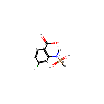 CN(c1cc(F)ccc1C(=O)O)S(C)(=O)=O